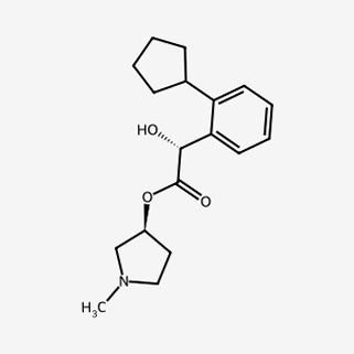 CN1CC[C@H](OC(=O)[C@H](O)c2ccccc2C2CCCC2)C1